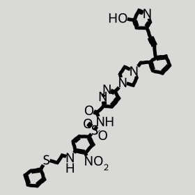 O=C(NS(=O)(=O)c1ccc(NCCSc2ccccc2)c([N+](=O)[O-])c1)c1ccc(N2CCN(Cc3ccccc3C#Cc3cncc(O)c3)CC2)nn1